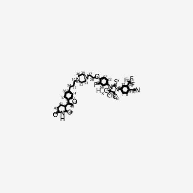 CC1(C)C(=O)N(c2ccc(C#N)c(C(F)(F)F)c2)C(=S)N1c1ccc(OCCN2CCN(CCCc3ccc4c(C5CCC(=O)NC5=O)coc4c3)CC2)c(F)c1